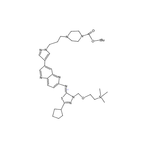 CC(C)(C)OC(=O)N1CCN(CCCn2cc(-c3cnc4ccc(/N=c5\sc(C6CCCC6)nn5COCC[Si](C)(C)C)nc4c3)cn2)CC1